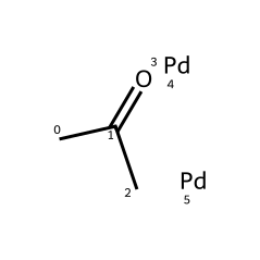 CC(C)=O.[Pd].[Pd]